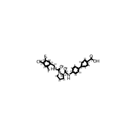 O=C(O)c1ccc(-c2ccc(NC(=O)[C@H]3CCCN3C(=O)NCc3cc(F)c(Cl)cc3F)cc2)cc1